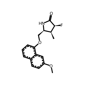 COc1ccc2cccc(OC[C@H]3NC(=O)[C@@H](F)[C@H]3C)c2c1